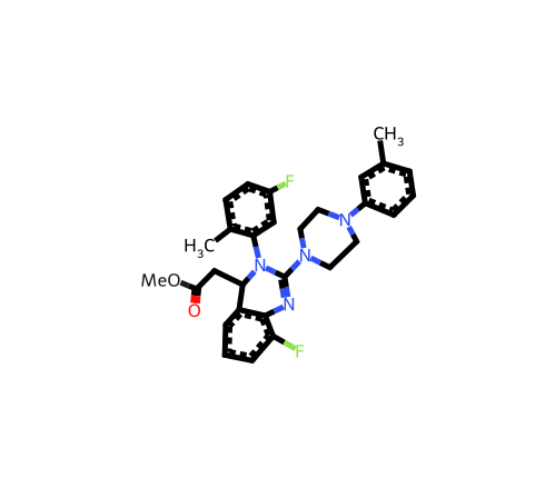 COC(=O)CC1c2cccc(F)c2N=C(N2CCN(c3cccc(C)c3)CC2)N1c1cc(F)ccc1C